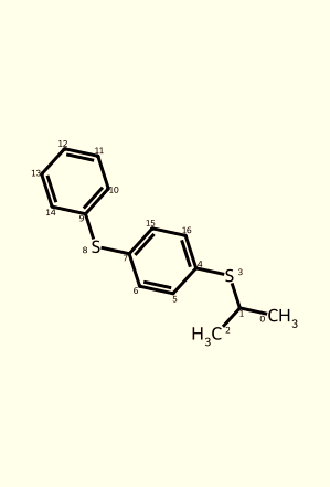 CC(C)Sc1ccc(Sc2ccccc2)cc1